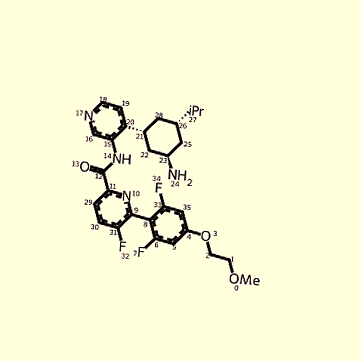 COCCOc1cc(F)c(-c2nc(C(=O)Nc3cnccc3[C@H]3C[C@H](N)C[C@@H](C(C)C)C3)ccc2F)c(F)c1